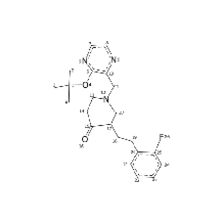 CC(C)(C)Oc1nccnc1CN1CCC(=O)C(CCc2ccccc2F)C1